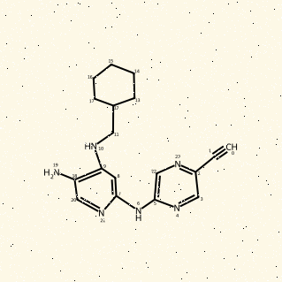 C#Cc1cnc(Nc2cc(NCC3CCCCC3)c(N)cn2)cn1